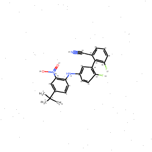 CC(C)(C)c1ccc(Nc2ccc(F)c(-c3c(F)cccc3C#N)c2)c([N+](=O)[O-])c1